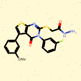 COc1cccc(-c2csc3nc(SCC(=O)NN)n(-c4cccc(F)c4)c(=O)c23)c1